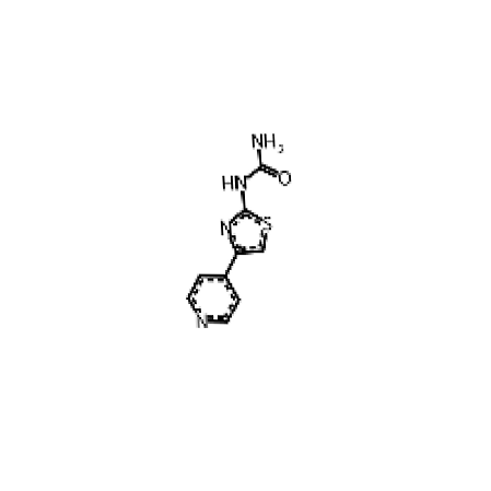 NC(=O)Nc1nc(-c2ccncc2)cs1